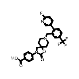 O=C(O)c1ccc(N2CC3(CCN(Cc4cc(C(F)(F)F)ccc4-c4ccc(F)nc4)CC3)OC2=O)cc1